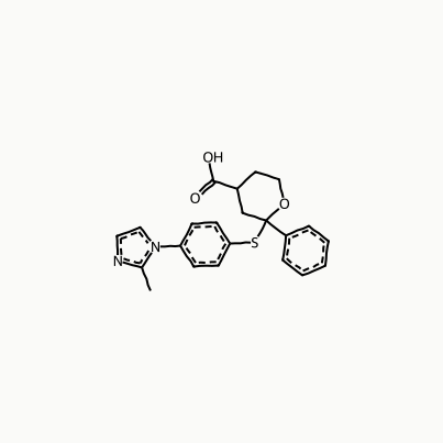 Cc1nccn1-c1ccc(SC2(c3ccccc3)CC(C(=O)O)CCO2)cc1